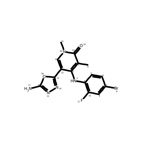 Cc1c(Nc2ccc(Br)cc2F)c(-c2nnc(N)o2)cn(C)c1=O